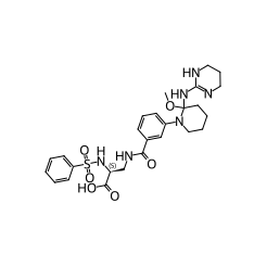 COC1(NC2=NCCCN2)CCCCN1c1cccc(C(=O)NC[C@H](NS(=O)(=O)c2ccccc2)C(=O)O)c1